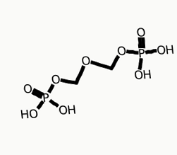 O=P(O)(O)OCOCOP(=O)(O)O